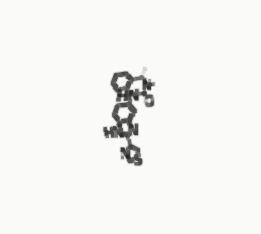 C[C@@H](c1ccccc1)N(C)C(=O)Nc1ccc2[nH]c(-c3cscn3)nc2c1